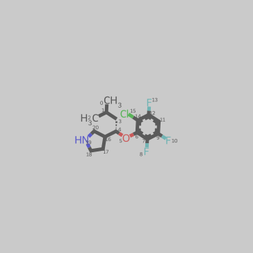 CC(C)C[C@H](Oc1c(F)c(F)cc(F)c1Cl)C1CCNC1